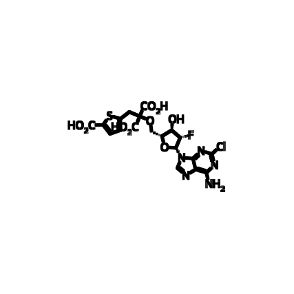 Nc1nc(Cl)nc2c1ncn2[C@@H]1O[C@H](COC(Cc2ccc(C(=O)O)s2)(C(=O)O)C(=O)O)[C@@H](O)[C@@H]1F